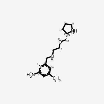 Cc1cc(N)nc(COCCOC[C@@H]2CCCN2)c1